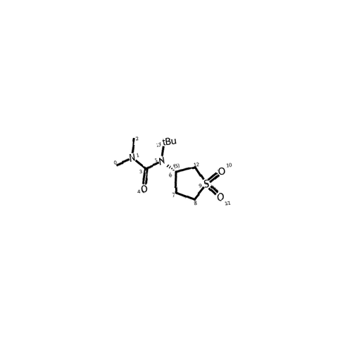 CN(C)C(=O)N([C@H]1CCS(=O)(=O)C1)C(C)(C)C